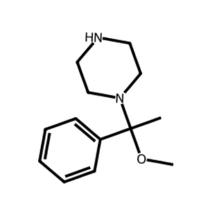 COC(C)(c1ccccc1)N1CCNCC1